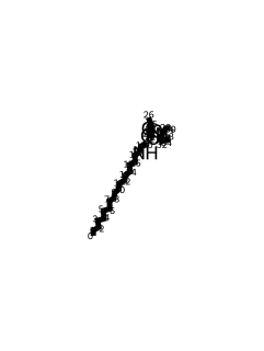 CCCCCCCCCCCCCCCCCCNCCOP(=O)(OCC)O[N+](CC)(CC)CC